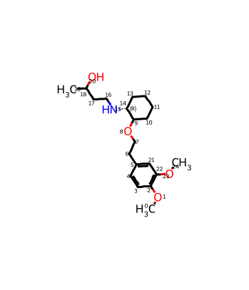 COc1ccc(CCOC2CCCC[C@H]2NCCC(C)O)cc1OC